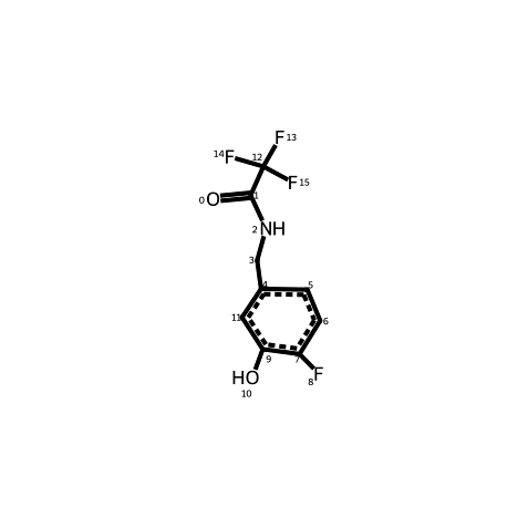 O=C(NCc1ccc(F)c(O)c1)C(F)(F)F